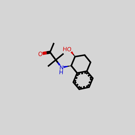 CC(=O)C(C)(C)N[C@@H]1c2ccccc2CC[C@@H]1O